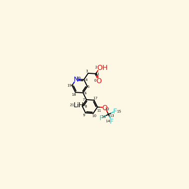 O=C(O)Cc1cc(-c2cccc(OC(F)(F)F)c2)ccn1.[LiH]